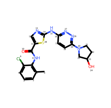 Cc1cccc(Cl)c1NC(=O)c1cnc(Nc2ccc(N3CCC(O)C3)nn2)s1